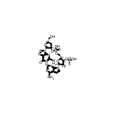 Nc1nc2c(nnn2[C@@H]2O[C@H](CO)C[C@H]2OP(O)(=S)OC[C@H]2O[C@@H](n3ccc4c(N)ncnc43)[C@@H](F)[C@@H]2O[PH](O)=S)c(=O)[nH]1